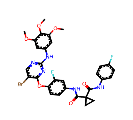 COc1cc(Nc2ncc(Br)c(Oc3ccc(NC(=O)C4(C(=O)Nc5ccc(F)cc5)CC4)cc3F)n2)cc(OC)c1OC